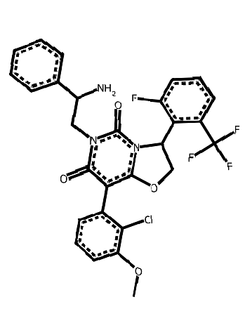 COc1cccc(-c2c3n(c(=O)n(CC(N)c4ccccc4)c2=O)C(c2c(F)cccc2C(F)(F)F)CO3)c1Cl